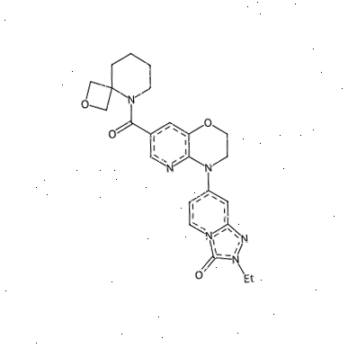 CCn1nc2cc(N3CCOc4cc(C(=O)N5CCCCC56COC6)cnc43)ccn2c1=O